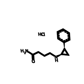 Cl.NC(=O)CCCN[C@@H]1C[C@H]1c1ccccc1